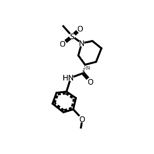 COc1cccc(NC(=O)[C@H]2CCCN(S(C)(=O)=O)C2)c1